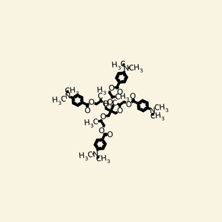 CC(COC(=O)c1ccc(N(C)C)cc1)OCC(COC(C)COC(=O)c1ccc(N(C)C)cc1)(COC(C)COC(=O)c1ccc(N(C)C)cc1)COC(C)COC(=O)c1ccc(N(C)C)cc1